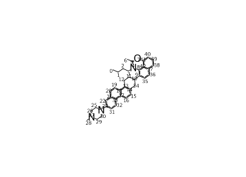 CCCCN(C(C)=O)c1c(C2CCc3c(ccc4c3ccc3cc(N5CCN(C)CC5)ccc34)C2)ccc2ccccc12